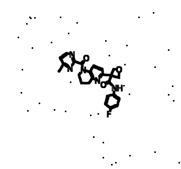 Cc1ccnc(C(=O)N2CCCc3nc(C4(C(=O)Nc5ccc(F)cc5)COC4)ccc32)n1